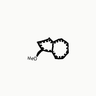 [CH2]Oc1ccc2cccccc1-2